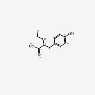 CCOC(Cc1ccc(S)cc1)C(=O)O